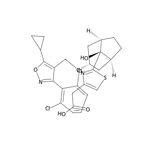 O=C(O)Cc1csc([C@]2(O)[C@@H]3CC[C@H]2C[C@H](OCc2c(-c4c(Cl)cccc4Cl)noc2C2CC2)C3)n1